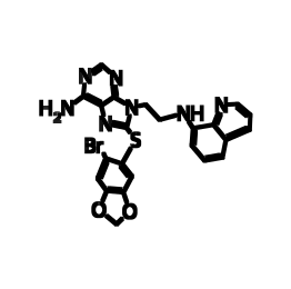 Nc1ncnc2c1nc(Sc1cc3c(cc1Br)OCO3)n2CCNc1cccc2cccnc12